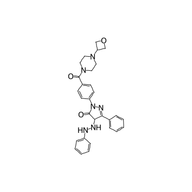 O=C(c1ccc(N2N=C(c3ccccc3)C(NNc3ccccc3)C2=O)cc1)N1CCN(C2COC2)CC1